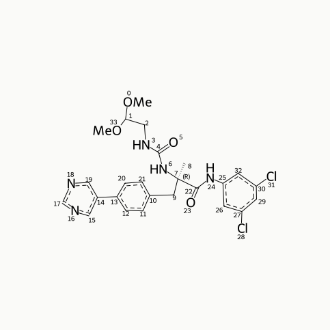 COC(CNC(=O)N[C@](C)(Cc1ccc(-c2cncnc2)cc1)C(=O)Nc1cc(Cl)cc(Cl)c1)OC